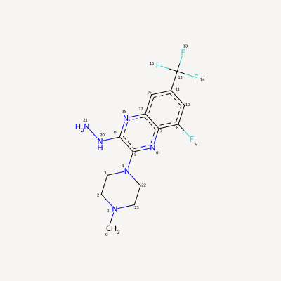 CN1CCN(c2nc3c(F)cc(C(F)(F)F)cc3nc2NN)CC1